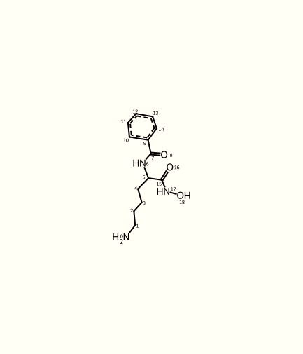 NCCCCC(NC(=O)c1ccccc1)C(=O)NO